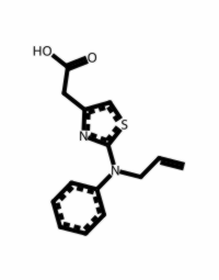 C=CCN(c1ccccc1)c1nc(CC(=O)O)cs1